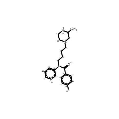 CC1CN(CCCCN(C(=O)c2ccc(F)cc2)c2cccnc2)CCN1